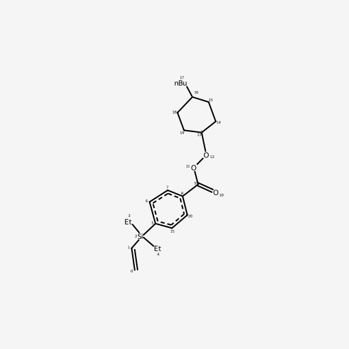 C=C[Si](CC)(CC)c1ccc(C(=O)OO[C]2CCC(CCCC)CC2)cc1